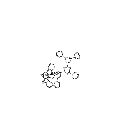 C=C/C=C\C(C)(/C(=C\C(=C/C)c1nc(-c2ccccc2)nc(-c2cc(-c3ccccc3)cc(-c3ccccc3)c2)n1)c1ccccc1)n1c2ccccc2c2ccc3oc4ccccc4c3c21